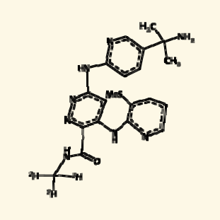 [2H]C([2H])([2H])NC(=O)c1nnc(Nc2ccc(C(C)(C)N)cn2)cc1Nc1ncccc1SC